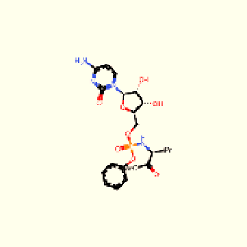 COC(=O)[C@@H](NP(=O)(OC[C@H]1O[C@@H](n2ccc(N)nc2=O)[C@H](O)[C@@H]1O)Oc1ccccc1)C(C)C